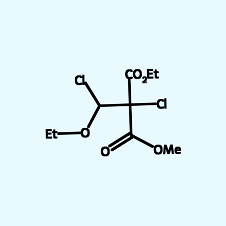 CCOC(=O)C(Cl)(C(=O)OC)C(Cl)OCC